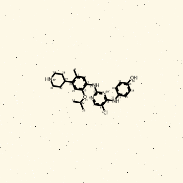 Cc1cc(Nc2ncc(Cl)c(Nc3ccc(O)cc3)n2)c(OC(C)C)cc1C1CCNCC1